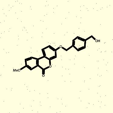 COc1ccc2c(c1)c(=O)oc1cc(OCc3ccc(CO)cc3)ccc12